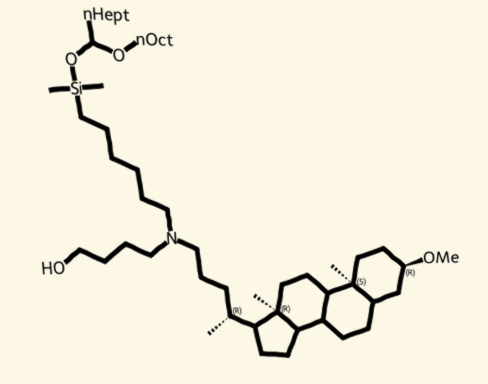 CCCCCCCCOC(CCCCCCC)O[Si](C)(C)CCCCCCN(CCCCO)CCC[C@@H](C)C1CCC2C3CCC4C[C@H](OC)CC[C@]4(C)C3CC[C@@]21C